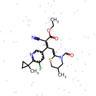 CCOC(=O)/C(C#N)=C(\C=C1/SCC(C)CN1C=O)c1cnc(C2(C)CC2)c(F)c1